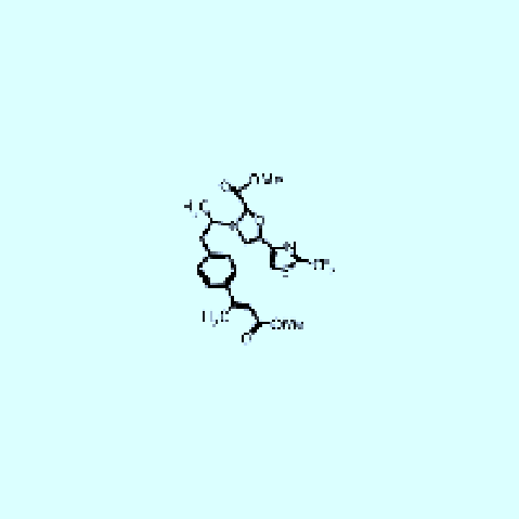 COC(=O)C=C(C)c1ccc(CC(C)N2CC(c3csc(C(F)(F)F)n3)OC2C(=O)OC)cc1